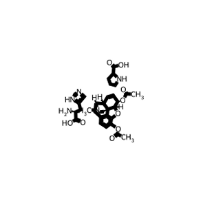 CC(=O)Oc1ccc2c3c1O[C@H]1[C@@H](OC(C)=O)C=C[C@H]4[C@@H](C2)N(C)CC[C@@]341.N[C@@H](Cc1cnc[nH]1)C(=O)O.O=C(O)C1CCCN1